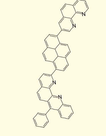 C1=CC2=C(c3ccc4ccc5c(-c6ccccc6)c6ccccc6nc5c4n3)C=CC3=CC=C4C(c5cnc6c(ccc7cccnc76)c5)=CC=C1C4C32